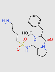 NCCCCS(=O)(=O)NCC1CCCN1C(=O)C(Cc1ccccc1)NC(=O)O